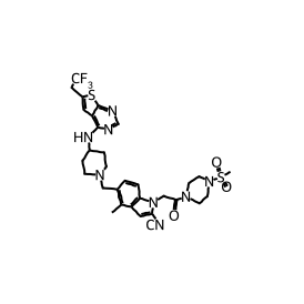 Cc1c(CN2CCC(Nc3ncnc4sc(CC(F)(F)F)cc34)CC2)ccc2c1cc(C#N)n2CC(=O)N1CCN(S(C)(=O)=O)CC1